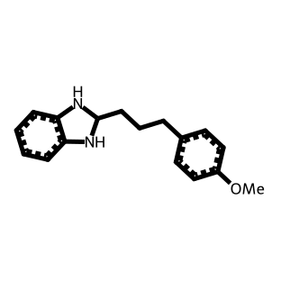 COc1ccc(CCCC2Nc3ccccc3N2)cc1